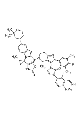 CNc1ccc(-n2ccn(-c3c4c(nn3-c3cc(C)c(F)c(C)c3)CCN(C(=O)c3cc5cc([C@H]6CCOC(C)(C)C6)ccc5n3[C@@]3(c5noc(=O)[nH]5)C[C@@H]3C)[C@H]4C)c2=O)c(F)c1C=N